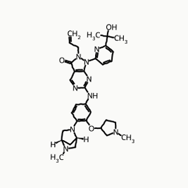 C=CCn1c(=O)c2cnc(Nc3ccc(N4C[C@@H]5C[C@H]4CN5C)c(OC4CCN(C)C4)c3)nc2n1-c1cccc(C(C)(C)O)n1